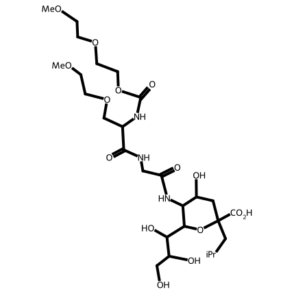 COCCOCCOC(=O)NC(COCCOC)C(=O)NCC(=O)NC1C(O)CC(CC(C)C)(C(=O)O)OC1C(O)C(O)CO